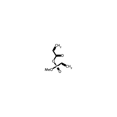 C=CC(=O)OP(=O)(C=C)OC